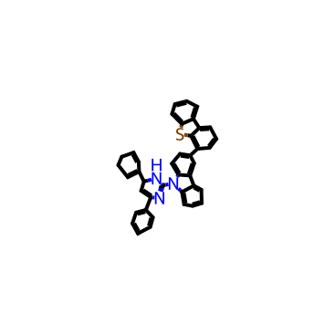 C1=CC(C2C=C(c3ccccc3)N=C(n3c4ccccc4c4cc(-c5cccc6c5sc5ccccc56)ccc43)N2)=CCC1